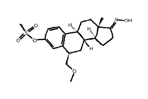 COC[C@@H]1C[C@@H]2[C@H](CC[C@]3(C)C(=NO)CC[C@@H]23)c2ccc(OS(C)(=O)=O)cc21